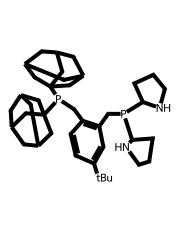 CC(C)(C)c1ccc(CP(C23CC4CC(CC(C4)C2)C3)C23CC4CC(CC(C4)C2)C3)c(CP(C2CCCN2)C2CCCN2)c1